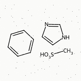 CS(=O)(=O)O.c1c[nH]cn1.c1ccccc1